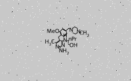 CCC[C@@H](CO)Nc1nc(N)nc(C)c1Cc1ccc(CN2CCN(C)CC2)cc1OC